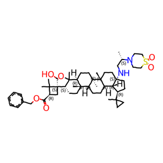 C[C@@H](CN[C@]12CC[C@@H](C3(C)CC3)[C@@H]1[C@H]1CC[C@@H]3[C@]4(C)CC[C@H]([C@@]5(C(=O)O)C[C@@H](C(=O)OCc6ccccc6)C5(C)C)C(C)(C)[C@H]4CC[C@@]3(C)[C@]1(C)CC2)N1CCS(=O)(=O)CC1